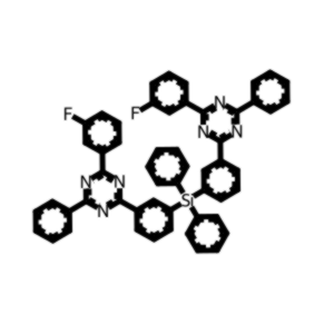 Fc1cccc(-c2nc(-c3ccccc3)nc(-c3cccc([Si](c4ccccc4)(c4ccccc4)c4cccc(-c5nc(-c6ccccc6)nc(-c6cccc(F)c6)n5)c4)c3)n2)c1